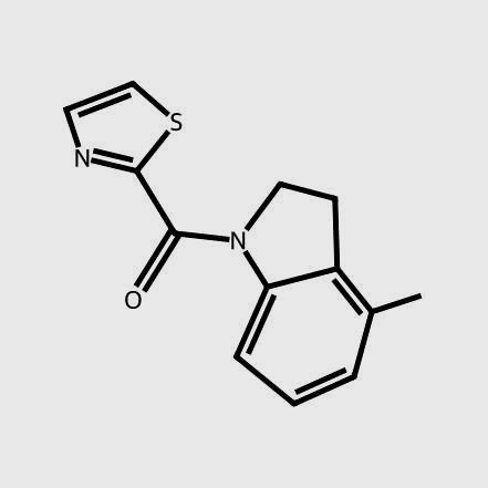 Cc1cccc2c1CCN2C(=O)c1nccs1